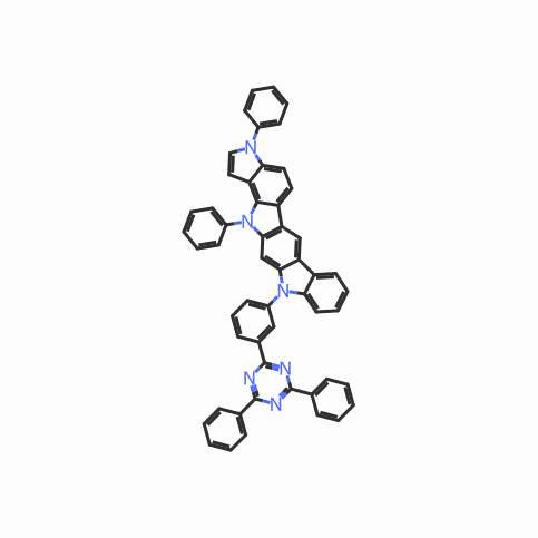 c1ccc(-c2nc(-c3ccccc3)nc(-c3cccc(-n4c5ccccc5c5cc6c7ccc8c(ccn8-c8ccccc8)c7n(-c7ccccc7)c6cc54)c3)n2)cc1